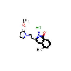 COC[C@H]1CCCN1CCc1cc2c(C)cccc2c(=O)[nH]1.Cl